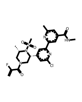 C=C(F)C(=O)N1C[C@H](C)N(S(C)(=O)=O)[C@H](c2cc(Cl)nc(-c3cc(C(=O)NC)cc(C)n3)c2)C1